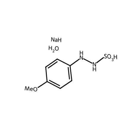 COc1ccc(NNS(=O)(=O)O)cc1.O.[NaH]